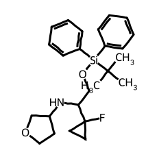 CC(C)(C)[Si](OCC(NC1CCOC1)C1(F)CC1)(c1ccccc1)c1ccccc1